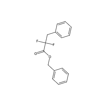 O=C(OCc1ccccc1)C(F)(F)Cc1ccccc1